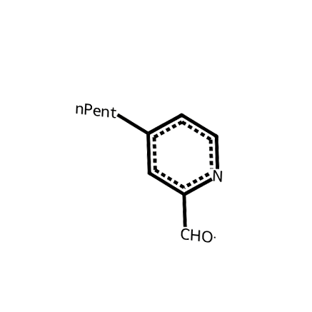 CCCCCc1ccnc([C]=O)c1